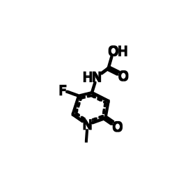 Cn1cc(F)c(NC(=O)O)cc1=O